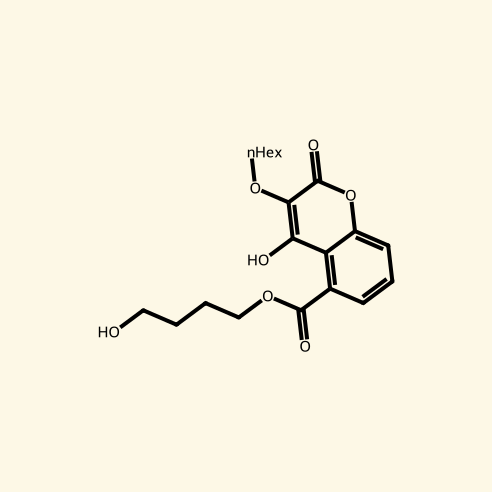 CCCCCCOc1c(O)c2c(C(=O)OCCCCO)cccc2oc1=O